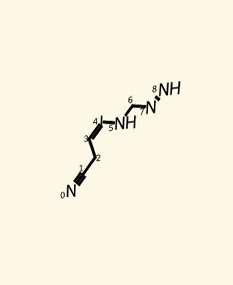 N#CC/C=I\NCN=N